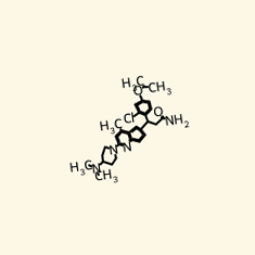 Cc1cc(N2CCC(N(C)C)CC2)nc2ccc(C(CC(N)=O)c3ccc(OC(C)C)cc3Cl)cc12